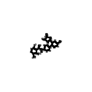 CCc1ccc(F)c(C(=O)Nc2ccc(-c3ncc(Br)cc3-c3nn(C)c(=O)o3)cc2)c1F